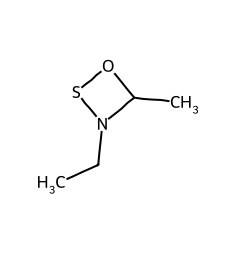 CCN1SOC1C